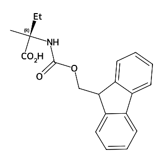 CC[C@@](C)(NC(=O)OCC1c2ccccc2-c2ccccc21)C(=O)O